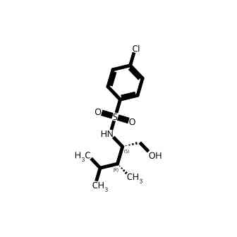 CC(C)[C@@H](C)[C@@H](CO)NS(=O)(=O)c1ccc(Cl)cc1